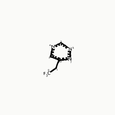 FC(F)(F)Cc1[c]ncnn1